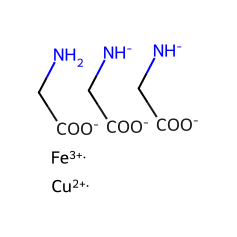 NCC(=O)[O-].[Cu+2].[Fe+3].[NH-]CC(=O)[O-].[NH-]CC(=O)[O-]